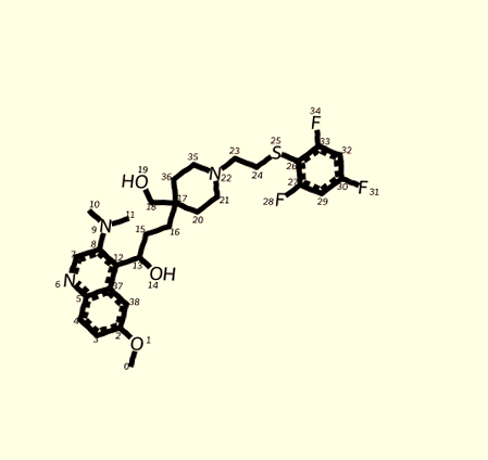 COc1ccc2ncc(N(C)C)c(C(O)CCC3(CO)CCN(CCSc4c(F)cc(F)cc4F)CC3)c2c1